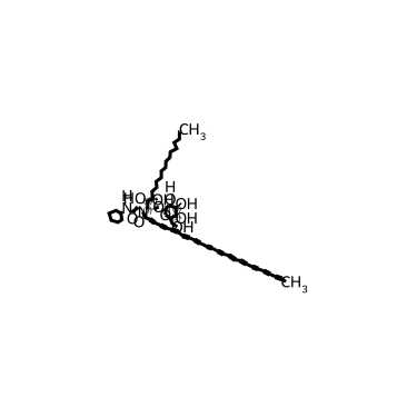 CC#CC#CC#CC#CC#CC#CC#CC#CC#CC#CC#CC#CC(=O)N(CC(=O)NC1CCCCC1)[C@@H](CO[C@H]1OC(CO)[C@@H](O)[C@H](O)C1O)[C@H](O)[C@H](O)CCCCCCCCCCCCCC